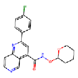 O=C(NOC1CCCCO1)c1cc(-c2ccc(Br)cc2)nc2ccncc12